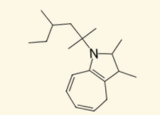 CCC(C)CC(C)(C)N1C2=C(CC=CC=C2)C(C)C1C